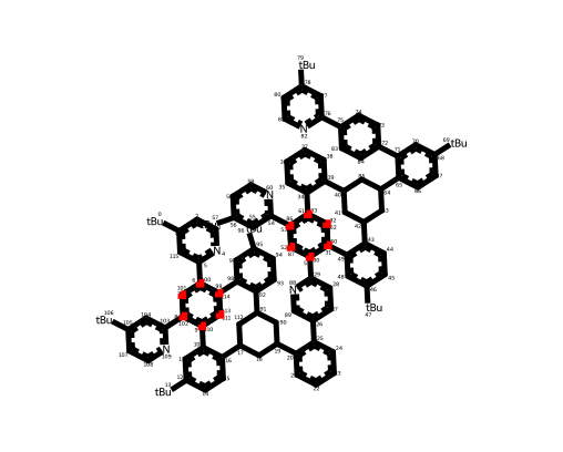 CC(C)(C)c1ccnc(-c2ccc(-c3cc(C(C)(C)C)ccc3C3CC(c4ccccc4-c4ccc(-c5ccc(-c6ccccc6C6CC(c7ccc(C(C)(C)C)cc7-c7ccc(-c8cc(C(C)(C)C)ccn8)cc7)CC(c7ccc(C(C)(C)C)cc7-c7ccc(-c8cc(C(C)(C)C)ccn8)cc7)C6)cn5)nc4)CC(c4ccc(C(C)(C)C)cc4-c4ccc(-c5cc(C(C)(C)C)ccn5)cc4)C3)cc2)c1